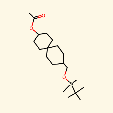 CC(=O)OC1CCC2(CCC(CO[Si](C)(C)C(C)(C)C)CC2)CC1